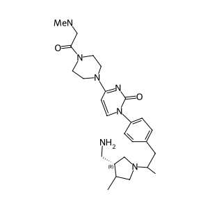 CNCC(=O)N1CCN(c2ccn(-c3ccc(CC(C)N4CC(C)[C@H](CN)C4)cc3)c(=O)n2)CC1